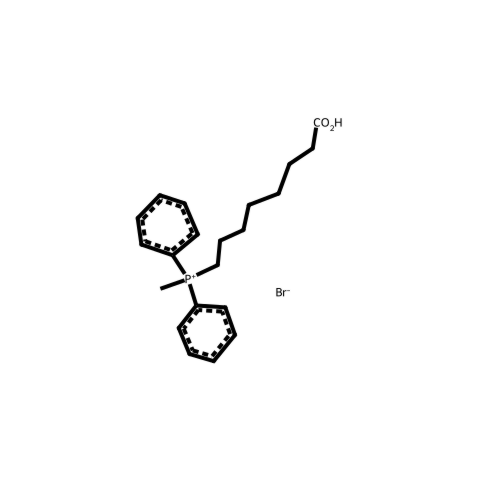 C[P+](CCCCCCCC(=O)O)(c1ccccc1)c1ccccc1.[Br-]